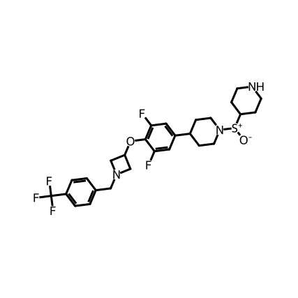 [O-][S+](C1CCNCC1)N1CCC(c2cc(F)c(OC3CN(Cc4ccc(C(F)(F)F)cc4)C3)c(F)c2)CC1